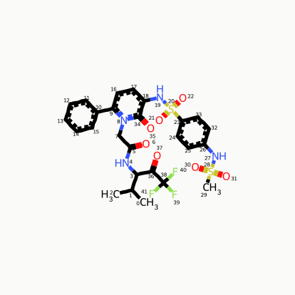 CC(C)C(NC(=O)Cn1c(-c2ccccc2)ccc(NS(=O)(=O)c2ccc(NS(C)(=O)=O)cc2)c1=O)C(=O)C(F)(F)F